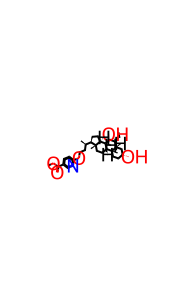 CC[C@H]1[C@@H](O)[C@@H]2[C@H](CC[C@]3(C)[C@@H]([C@H](C)CCOc4ccc(C(=O)OC)cn4)CC[C@@H]23)[C@@]2(C)CC[C@@H](O)C[C@@H]12